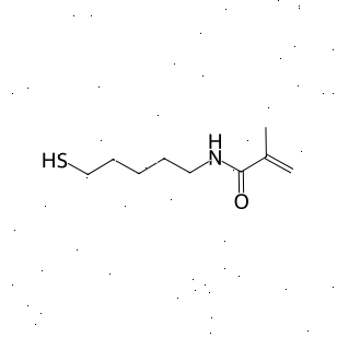 C=C(C)C(=O)NCCCCCS